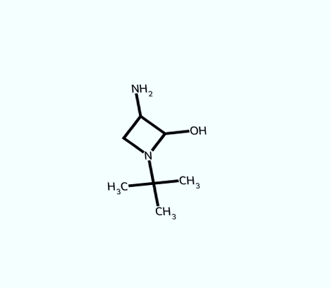 CC(C)(C)N1CC(N)C1O